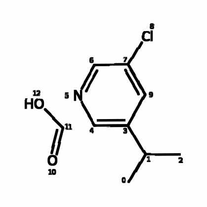 CC(C)c1cncc(Cl)c1.O=CO